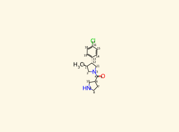 C[C@@H]1CN(C(=O)C2CCNC2)C[C@H]1c1ccc(Cl)cc1